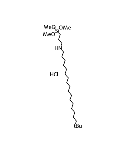 CO[Si](CCCNCCCCCCCCCCCCCCCCCC(C)(C)C)(OC)OC.Cl